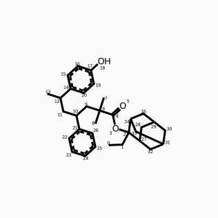 CCC1(OC(=O)C(C)(C)CC(CC(C)c2ccc(O)cc2)c2ccccc2)C2CC3CC(C2)CC1C3